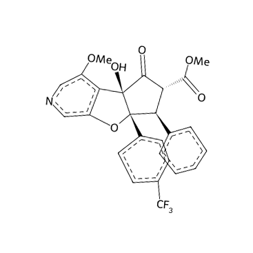 COC(=O)[C@H]1C(=O)[C@@]2(O)c3c(OC)cncc3O[C@@]2(c2ccc(C(F)(F)F)cc2)[C@@H]1c1ccccc1